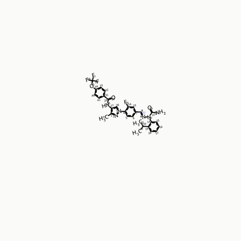 Cc1nn(-c2ccc(/C=N/N(C(N)=O)c3ccccc3C(C)C)cc2F)cc1NC(=O)c1ccc(OC(F)(F)F)cc1